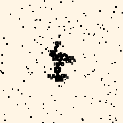 Cc1n[nH]c(C)c1-c1ccc(NC(=O)[C@@H](NC(=O)c2ccnn2CCCO)[C@@H]2CC(C)(C)CCC2(F)F)cc1